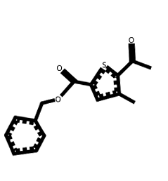 CC(=O)c1sc(C(=O)OCc2ccccc2)cc1C